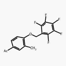 CC(=O)c1ccc(OCc2c(F)c(F)c(F)c(F)c2F)c(C)c1